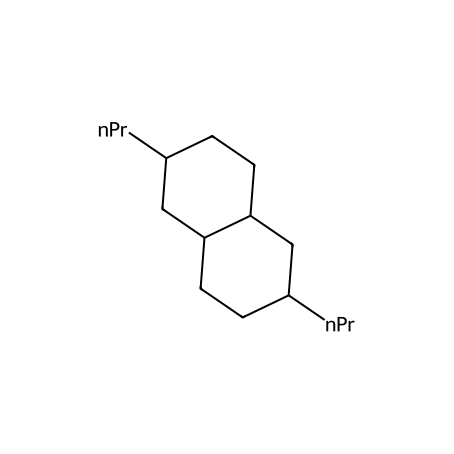 CCCC1CCC2CC(CCC)CCC2C1